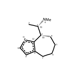 CN[C@@H](C)[C@@H]1CCCCc2ccsc21